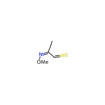 CON=C(C)[C]=S